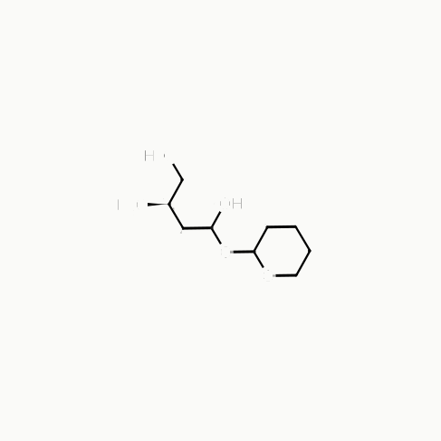 CC[C@H](C)CC(O)OC1CCCCO1